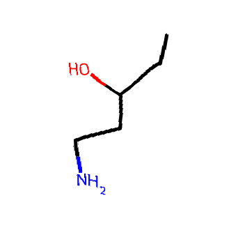 CCC(O)CCN